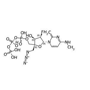 C=C1N=C(NC)C=CN1[C@@H]1O[C@](CN=[N+]=[N-])(COP(=O)(O)OP(=O)(O)OP(=O)(O)O)[C@@H](O)[C@H]1F